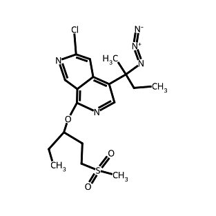 CCC(CCS(C)(=O)=O)Oc1ncc(C(C)(CC)N=[N+]=[N-])c2cc(Cl)ncc12